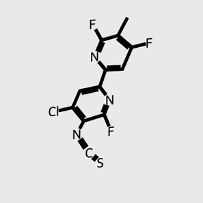 Cc1c(F)cc(-c2cc(Cl)c(N=C=S)c(F)n2)nc1F